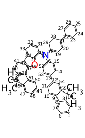 CC1(C)c2ccccc2-c2ccc(-c3ccc(N(C4=CC=C(c5ccccc5)CC4)c4cccc5c4oc4c6c(ccc45)C(C)(C)c4ccccc4-6)cc3)cc21